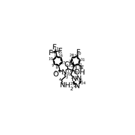 CC(N(CCN)C(=O)c1ccc(C(F)(F)F)cc1)C(O)(Cn1cncn1)c1ccc(F)cc1F